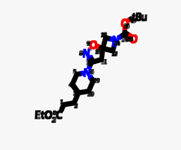 CCOC(=O)CCC1CCN(C2=NOC3(C2)CN(C(=O)OC(C)(C)C)C3)CC1